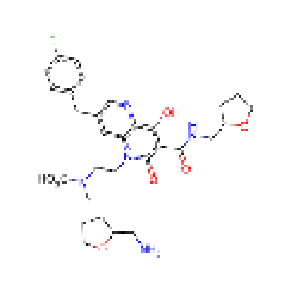 CN(CCn1c(=O)c(C(=O)NCC2CCCO2)c(O)c2ncc(Cc3ccc(F)cc3)cc21)C(=O)O.NCC1CCCO1